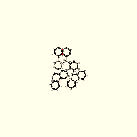 c1ccc(-c2ccccc2N(c2ccccc2)c2cccc3c2-c2cc4ccc5ccccc5c4cc2C32c3ccccc3-c3ccccc32)cc1